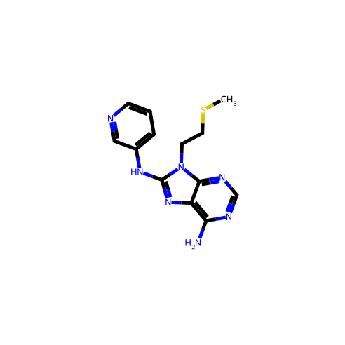 CSCCn1c(Nc2cccnc2)nc2c(N)ncnc21